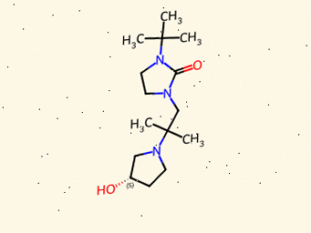 CC(C)(C)N1CCN(CC(C)(C)N2CC[C@H](O)C2)C1=O